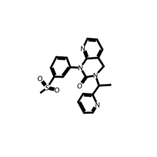 CC(c1ccccn1)N1Cc2cccnc2N(c2cccc(S(C)(=O)=O)c2)C1=O